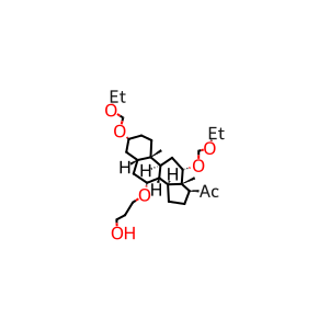 CCOCO[C@@H]1CC[C@@]2(C)[C@@H](C1)C[C@@H](OCCCO)[C@@H]1[C@@H]2C[C@H](OCOCC)[C@]2(C)[C@@H](C(C)=O)CC[C@@H]12